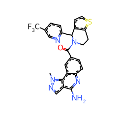 Cn1ncc2c(N)nc3ccc(C(=O)N4CCc5sccc5C4c4ccc(C(F)(F)F)cn4)cc3c21